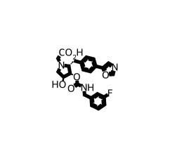 O=C(O)CN1C[C@H](O)[C@@H](OC(=O)NCc2cccc(F)c2)[C@H]1Cc1ccc(-c2cnco2)cc1